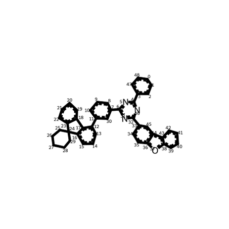 c1ccc(-c2nc(-c3cccc(-c4cccc5c4-c4ccccc4C54CCCCC4)c3)nc(-c3ccc4oc5ccccc5c4c3)n2)cc1